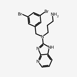 NCCCN(Cc1cc(Br)cc(Br)c1)c1nc2ncccc2[nH]1